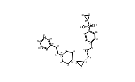 O=S(=O)(c1ccc(COC[C@@H]2C[C@@H]2C2CCN(CCc3cncnc3)CC2)cc1)C1CC1